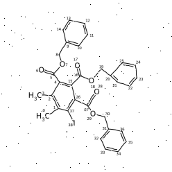 Cc1c(C)c(C(=O)OCc2ccccc2)c(C(=O)OCc2ccccc2)c(C(=O)OCc2ccccc2)c1I